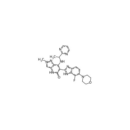 CC(Nc1c(-c2nc3ccc(N4CCOCC4)c(F)c3[nH]2)c(=O)[nH]c2cn(C)nc12)c1ncccn1